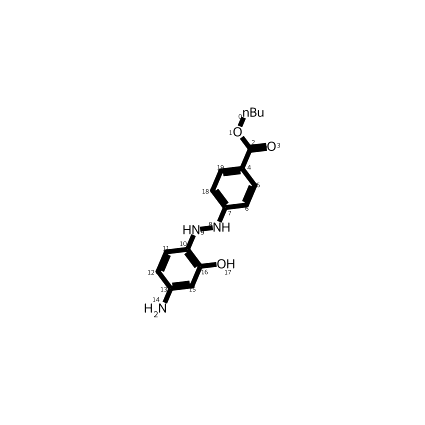 CCCCOC(=O)c1ccc(NNc2ccc(N)cc2O)cc1